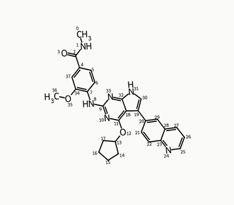 CNC(=O)c1ccc(Nc2nc(OC3CCCC3)c3c(-c4ccc5ncccc5c4)c[nH]c3n2)c(OC)c1